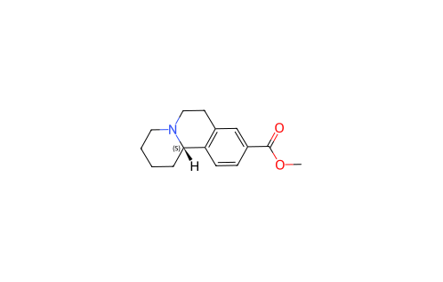 COC(=O)c1ccc2c(c1)CCN1CCCC[C@@H]21